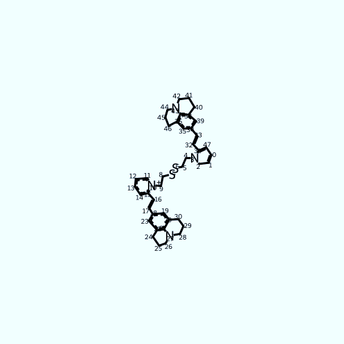 C1=CCN(CCSSCC[n+]2ccccc2/C=C/c2cc3c4c(c2)CCCN4CCC3)C(/C=C/c2cc3c4c(c2)CCCN4CCC3)=C1